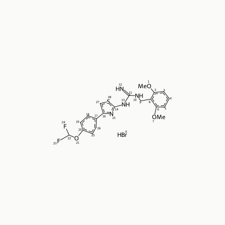 Br.COc1cccc(OC)c1CNC(=N)Nc1nc(-c2ccc(OC(F)F)cc2)cs1